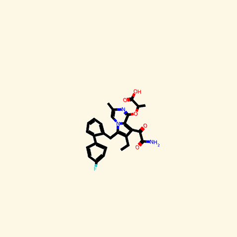 CCc1c(C(=O)C(N)=O)c2c(OC(C)C(=O)O)nc(C)cn2c1Cc1ccccc1-c1ccc(F)cc1